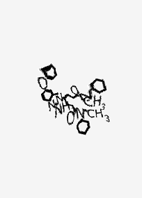 CCN(C(=O)CCC(CCC(=O)N(C)C1CCCCC1)N1Cc2cc(Oc3ccccc3)ccc2N=C1N)C1CCCCC1